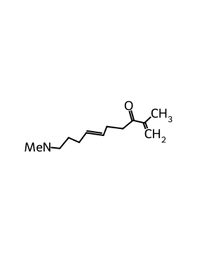 C=C(C)C(=O)CC/C=C/CCCNC